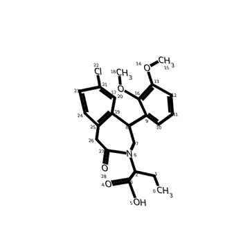 CCC(C(=O)O)N1CC(c2cccc(OC)c2OC)c2cc(Cl)ccc2CC1=O